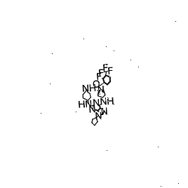 NC1CCC(Nc2nc(NC3CCN(C(=O)c4cccc(C(F)(F)F)c4F)CC3)c3ncn(C4CCCC4)c3n2)CC1